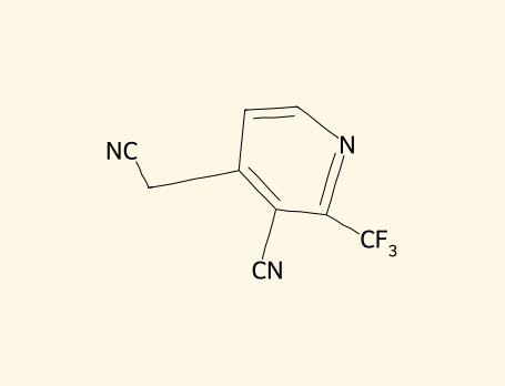 N#CCc1ccnc(C(F)(F)F)c1C#N